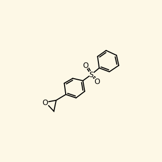 O=S(=O)(c1ccccc1)c1ccc(C2CO2)cc1